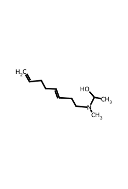 C=CCC/C=C/CCN(C)C(C)O